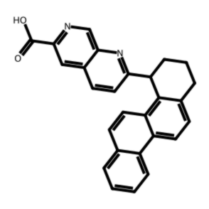 O=C(O)c1cc2ccc(C3CCCc4ccc5c(ccc6ccccc65)c43)nc2cn1